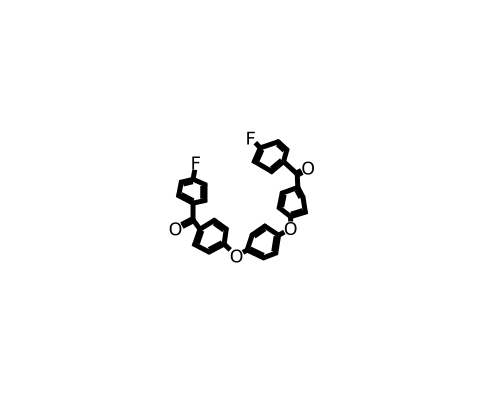 O=C(c1ccc(F)cc1)c1ccc(Oc2ccc(Oc3ccc(C(=O)c4ccc(F)cc4)cc3)cc2)cc1